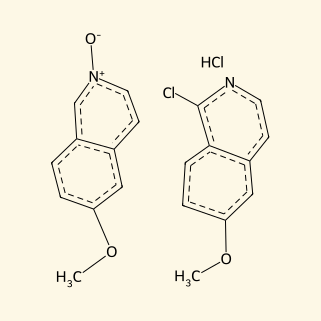 COc1ccc2c(Cl)nccc2c1.COc1ccc2c[n+]([O-])ccc2c1.Cl